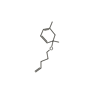 C=CCCCOC1(C)C=CC=C(C)C1